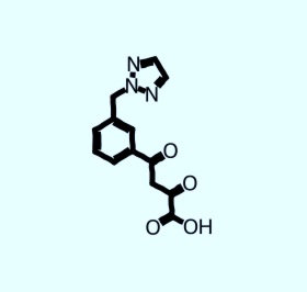 O=C(O)C(=O)CC(=O)c1cccc(Cn2nccn2)c1